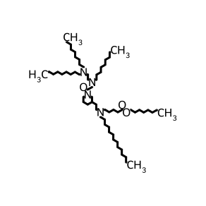 CCCCCCCCCCCCCCN(CCCCC(=O)OCCCCCCCC)CCC1CCCN(C(=O)CN(CCCCCCCCC)CCN(CCCCCCCCC)CCCCCCCCC)C1